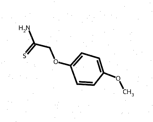 COc1ccc(OCC(N)=S)cc1